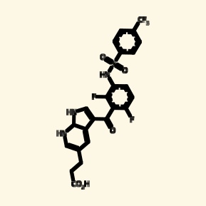 O=C(O)CCC1=CNC2NC=C(C(=O)c3c(F)ccc(NS(=O)(=O)c4ccc(C(F)(F)F)cc4)c3F)C2=C1